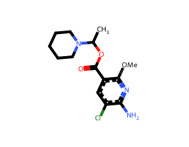 COc1nc(N)c(Cl)cc1C(=O)OC(C)N1CCCCC1